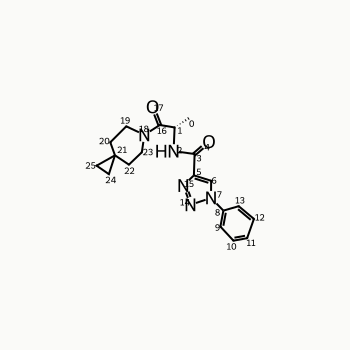 C[C@H](NC(=O)c1cn(-c2ccccc2)nn1)C(=O)N1CCC2(CC1)CC2